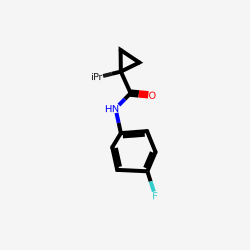 CC(C)C1(C(=O)Nc2ccc(F)cc2)CC1